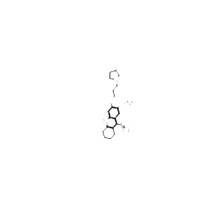 CCNc1c2c(nc3cc(OCCCN4CC[C@@H](F)C4)c(OC)cc13)CCCC2